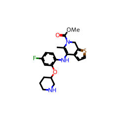 COC(=O)N1Cc2sccc2C(Nc2ccc(F)cc2OC2CCCNC2)=C1C